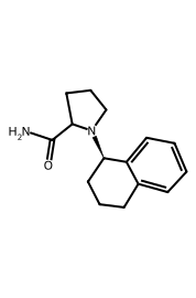 NC(=O)C1CCCN1[C@@H]1CCCc2ccccc21